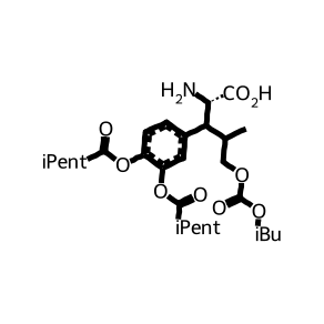 CCCC(C)C(=O)Oc1ccc(C(C(C)COC(=O)OC(C)CC)[C@H](N)C(=O)O)cc1OC(=O)C(C)CCC